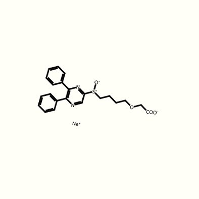 O=C([O-])COCCCC[S+]([O-])c1cnc(-c2ccccc2)c(-c2ccccc2)n1.[Na+]